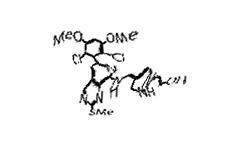 COc1cc(OC)c(Cl)c(-c2cc3cnc(SC)nc3c(NCC3=CN(CCO)NC3)n2)c1Cl